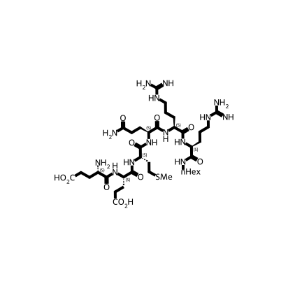 CCCCCCNC(=O)[C@H](CCCNC(=N)N)NC(=O)[C@H](CCCNC(=N)N)NC(=O)[C@H](CCC(N)=O)NC(=O)[C@H](CCSC)NC(=O)[C@H](CCC(=O)O)NC(=O)[C@@H](N)CCC(=O)O